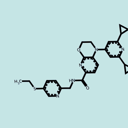 CCSc1ccc(CNC(=O)c2ccc3c(n2)OCCN3c2cc(C3CC3)nc(C3CC3)c2)nc1